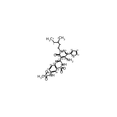 CCC(C)CCn1nc(-c2cccs2)c(N)c(C2=Nc3ccc(NS(C)(=O)=O)cc3S(=O)(=O)N2)c1=O